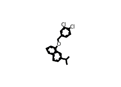 CC(C)c1ccc2cccc(OCc3ccc(Cl)c(Cl)c3)c2c1